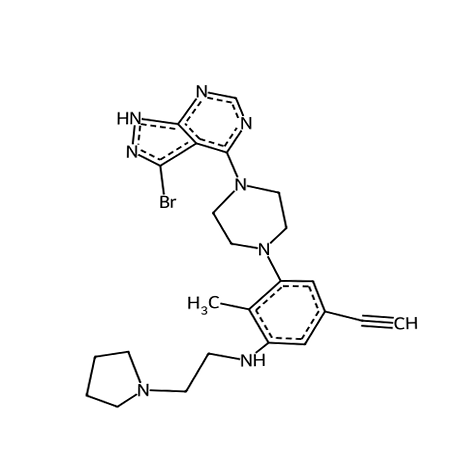 C#Cc1cc(NCCN2CCCC2)c(C)c(N2CCN(c3ncnc4[nH]nc(Br)c34)CC2)c1